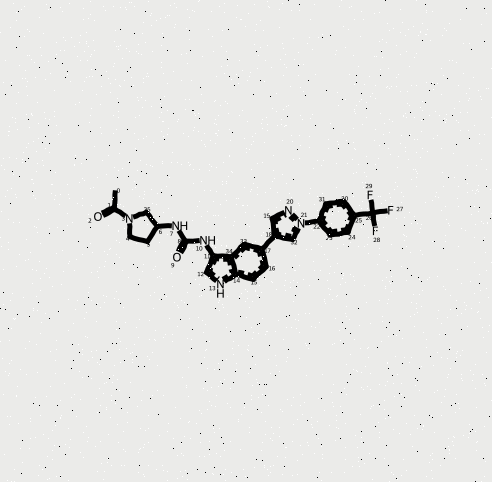 CC(=O)N1CCC(NC(=O)Nc2c[nH]c3ccc(-c4cnn(-c5ccc(C(F)(F)F)cc5)c4)cc23)C1